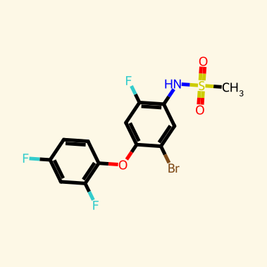 CS(=O)(=O)Nc1cc(Br)c(Oc2ccc(F)cc2F)cc1F